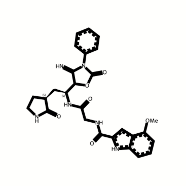 COc1cccc2[nH]c(C(=O)NCC(=O)N[C@@H](C[C@@H]3CCNC3=O)C3OC(=O)N(c4ccccc4)C3=N)cc12